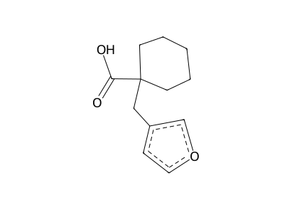 O=C(O)C1(Cc2ccoc2)CCCCC1